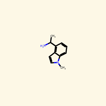 CC(N)c1cccc2c1ccn2C